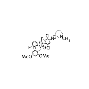 COc1ccc(CN(c2cccc(F)n2)S(=O)(=O)c2c(Cl)cc(N3CC4(CCCCN(C)C4)C3)c(Cl)c2F)c(OC)c1